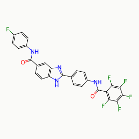 O=C(Nc1ccc(F)cc1)c1ccc2[nH]c(-c3ccc(NC(=O)c4c(F)c(F)c(F)c(F)c4F)cc3)nc2c1